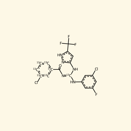 O=C(/N=[13C](/Nc1cc(F)cc(Cl)c1)Nc1cc(C(F)(F)F)[nH]n1)[13c]1[13cH][13cH][13cH][13c](Cl)[13cH]1